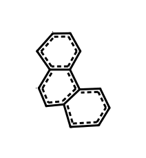 [c]1ccc2c([c]cc3ccccc32)c1